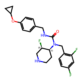 O=C(NCc1ccc(OC2CC2)cc1)N(Cc1ccc(F)cc1F)[C@H]1CCNC[C@H]1F